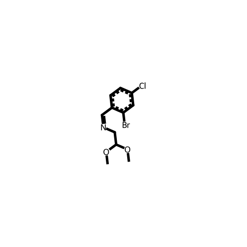 COC(C/N=C\c1ccc(Cl)cc1Br)OC